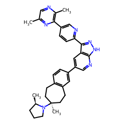 Cc1cnc(C)c(-c2ccc(-c3n[nH]c4ncc(-c5ccc6c(c5)CC[C@@](C)(N5CCC[C@H]5C)CC6)cc34)nc2)n1